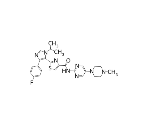 CC(C)n1cnc(-c2ccc(F)cc2)c1-c1nc(C(=O)Nc2ncc(N3CCN(C)CC3)cn2)cs1